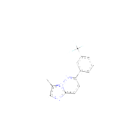 Cc1cnc2ccc(-c3cccc(C(F)(F)F)c3)nn12